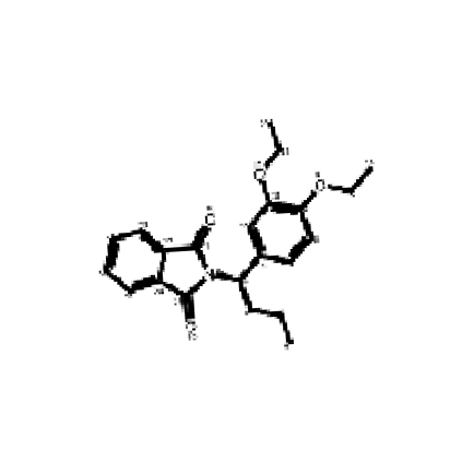 CCCC(c1ccc(OCC)c(OCC)c1)N1C(=O)c2ccccc2C1=O